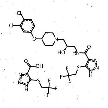 O=C(NC[C@@H](O)CN1CCC(Oc2ccc(Cl)c(Cl)c2)CC1)c1nn[nH]c1SCC(F)(F)F.O=C(O)c1nn[nH]c1SCC(F)(F)F